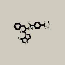 CC(C)c1ccc(C(=O)NC(Cc2ccccc2)C(=O)N2CCC3OCC(=O)C32)cc1